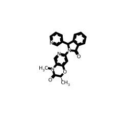 C[C@H]1Oc2cc(N3C(=O)c4ccccc4C3c3cccnc3)ncc2N(C)C1=O